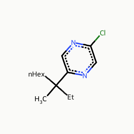 CCCCCCC(C)(CC)c1cnc(Cl)cn1